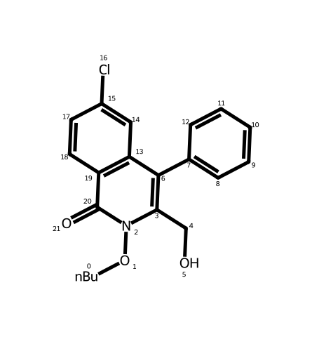 CCCCOn1c(CO)c(-c2ccccc2)c2cc(Cl)ccc2c1=O